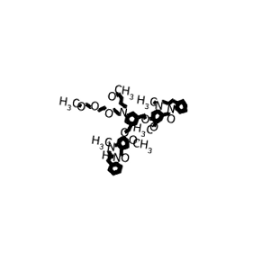 COCCOCCOCCN(CCCC(C)=O)c1cc(COc2cc3c(cc2OC)C(=O)N2c4ccccc4CC2CN3C)cc(COc2cc3c(cc2OC)C(=O)N2c4ccccc4C[C@H]2CN3C)c1